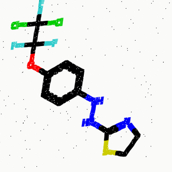 FC(Cl)(Cl)C(F)(F)Oc1ccc(NNC2=NCCS2)cc1